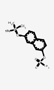 CC(C)(C)[Si](C)(C)Oc1ccc2ccc(OS(=O)(=O)C(F)(F)F)cc2c1